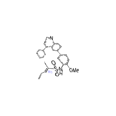 C=C/C=C(\C)S(=O)(=O)Nc1cc(-c2ccc3nccc(-c4ccccc4)c3c2)ccc1OC